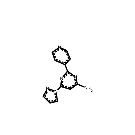 Nc1cc(-n2cccn2)nc(-c2ccncc2)n1